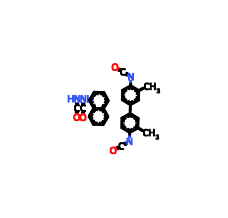 Cc1cc(-c2ccc(N=C=O)c(C)c2)ccc1N=C=O.N=C=O.N=C=O.c1ccc2ccccc2c1